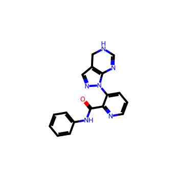 O=C(Nc1ccccc1)c1ncccc1-n1ncc2c1N=CNC2